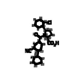 N#Cc1cc(C(=O)N2[C@@H](c3ccccc3Cl)CC[C@H]2C(=O)O)ccc1-c1ccccc1